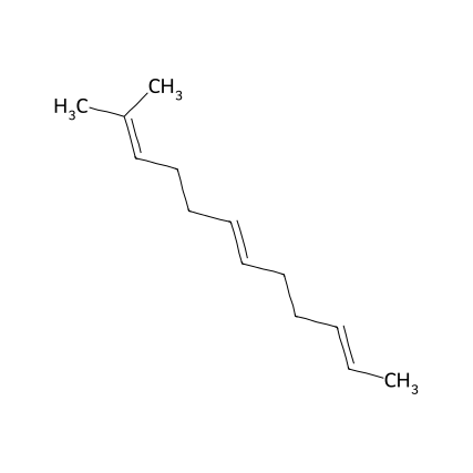 C/C=C/CC/C=C/CCC=C(C)C